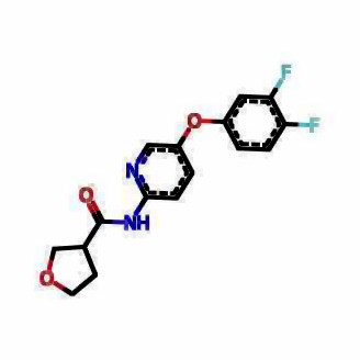 O=C(Nc1ccc(Oc2ccc(F)c(F)c2)cn1)C1CCOC1